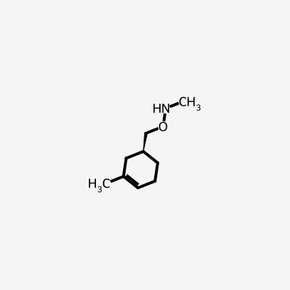 CNOC[C@H]1CCC=C(C)C1